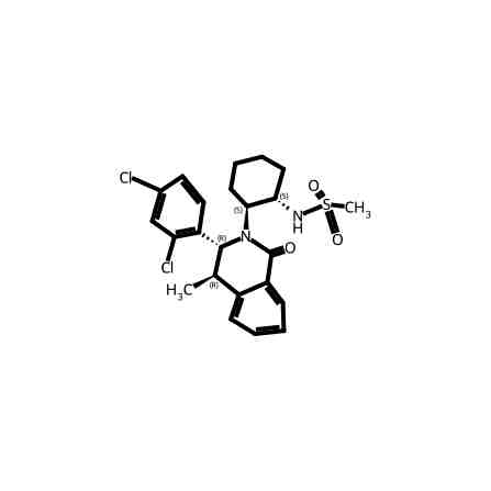 C[C@@H]1c2ccccc2C(=O)N([C@H]2CCCC[C@@H]2NS(C)(=O)=O)[C@H]1c1ccc(Cl)cc1Cl